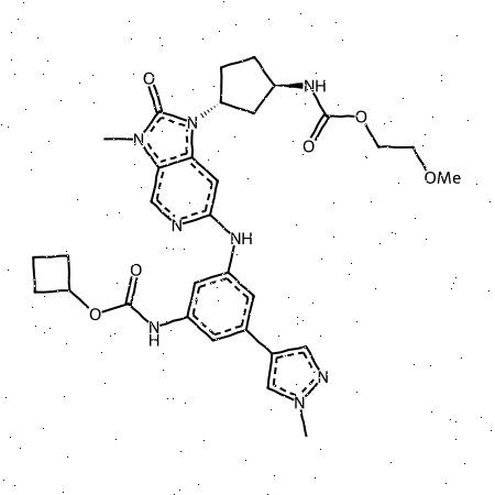 COCCOC(=O)N[C@@H]1CC[C@@H](n2c(=O)n(C)c3cnc(Nc4cc(NC(=O)OC5CCC5)cc(-c5cnn(C)c5)c4)cc32)C1